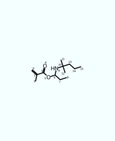 C=C(C)C(=O)OC(CC)NC(C)(C)CCC